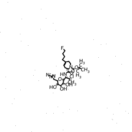 C[C@H](Cl)[C@@H](NC(=O)[C@@H]1CC=C(CCCCF)CCN1C(=O)OC(C)(C)C)[C@H]1OC(CN=[N+]=[N-])[C@H](O)C(O)[C@@H]1O